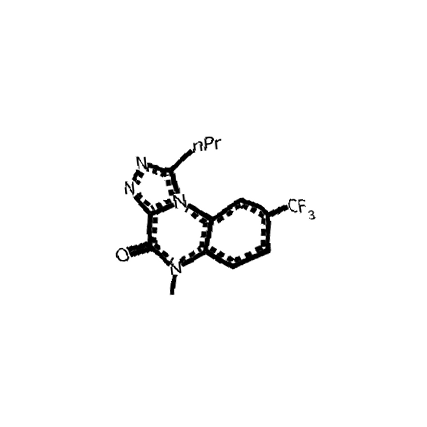 CCCc1nnc2c(=O)n(C)c3ccc(C(F)(F)F)cc3n12